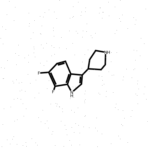 Fc1ccc2c(C3CCNCC3)c[nH]c2c1F